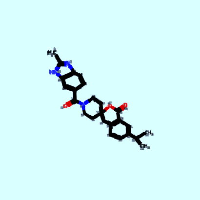 Cc1nc2ccc(C(=O)N3CCC4(CC3)Cc3ccc(C(C)C)cc3C(=O)O4)cc2[nH]1